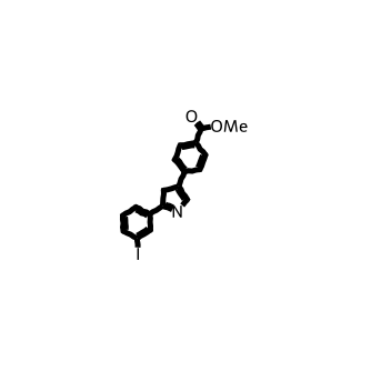 COC(=O)c1ccc(C2=CN=C(c3cccc(I)c3)C2)cc1